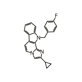 Fc1ccc(Cn2c3ccccc3c3ccn4cc(C5CC5)nc4c32)cc1